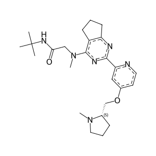 CN(CC(=O)NC(C)(C)C)c1nc(-c2cc(OC[C@@H]3CCCN3C)ccn2)nc2c1CCC2